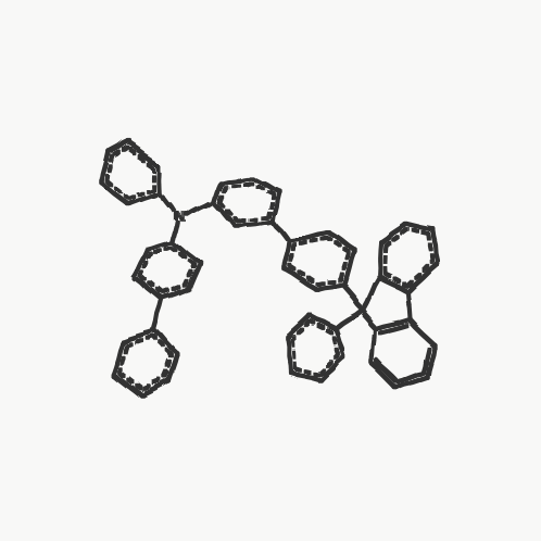 C1=C=CC2=C(C=1)c1ccccc1C2(c1ccccc1)c1ccc(-c2cccc(N(c3ccccc3)c3ccc(-c4ccccc4)cc3)c2)cc1